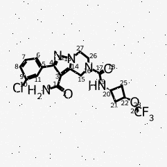 NC(=O)c1c(-c2cccc(Cl)c2)nn2c1CN(C(=O)N[C@H]1C[C@H](OC(F)(F)F)C1)CC2